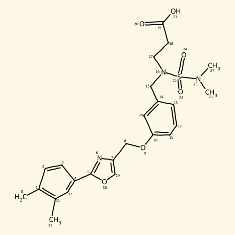 Cc1ccc(-c2nc(COc3cccc(CN(CCC(=O)O)S(=O)(=O)N(C)C)c3)co2)cc1C